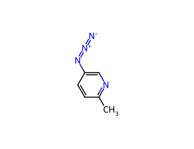 Cc1ccc(N=[N+]=[N-])cn1